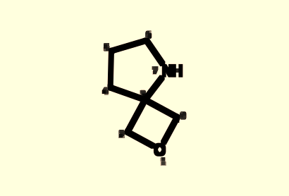 [CH]1OCC12CCCN2